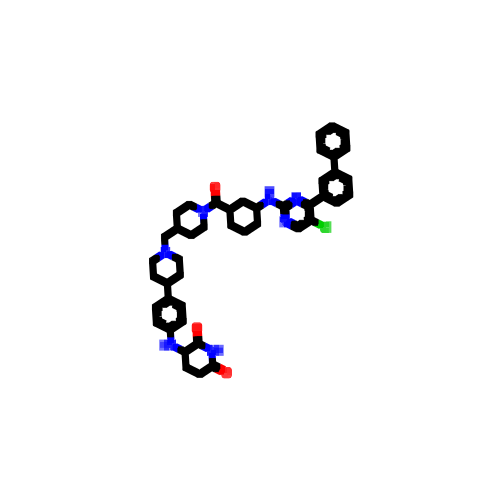 O=C1CCC(Nc2ccc(C3CCN(CC4CCN(C(=O)C5CCCC(Nc6ncc(Cl)c(-c7cccc(-c8ccccc8)c7)n6)C5)CC4)CC3)cc2)C(=O)N1